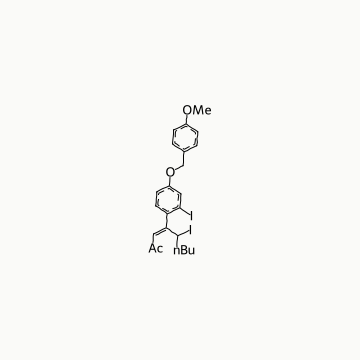 CCCCC(I)C(=CC(C)=O)c1ccc(OCc2ccc(OC)cc2)cc1I